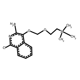 Bc1nc(Cl)c2ccccc2c1OCOCC[Si](C)(C)C